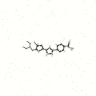 CCN(CC)Cc1sc(-c2nc(-c3ccc(C(=O)O)cc3)no2)cc1C